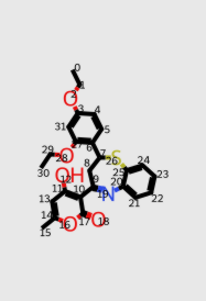 CCOc1ccc(C2CC(c3c(O)cc(C)oc3=O)=Nc3ccccc3S2)c(OCC)c1